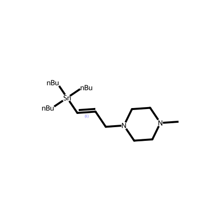 CCC[CH2][Sn](/[CH]=C/CN1CCN(C)CC1)([CH2]CCC)[CH2]CCC